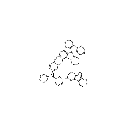 C1=CC2=C(CC1)C1(c3ccccc3-c3ccccc31)c1ccc3c(c12)OC1C=C(N(c2ccccc2)c2cccc(-c4ccc5oc6ccccc6c5c4)c2)C=CC1O3